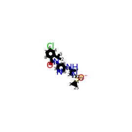 CC1(C)c2cc(Cl)ccc2C(=O)N1c1cncc(NC2CN([S+]([O-])C3CC3)C2)c1